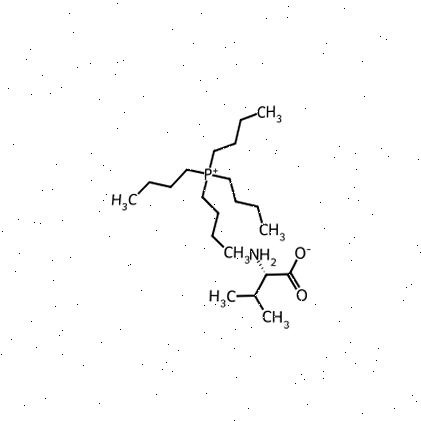 CC(C)[C@H](N)C(=O)[O-].CCCC[P+](CCCC)(CCCC)CCCC